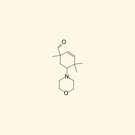 CC1(C=O)C=CC(C)(C)C(N2CCOCC2)C1